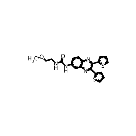 COCCNC(=O)Nc1ccc2nc(-c3cccs3)c(-c3cccs3)nc2c1